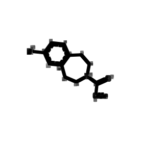 COC(=O)N1CCc2ccc(Br)cc2CC1